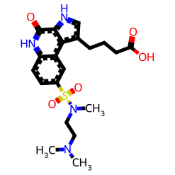 CN(C)CCN(C)S(=O)(=O)c1ccc2[nH]c(=O)c3[nH]cc(CCCC(=O)O)c3c2c1